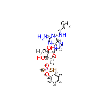 C=CCNc1nc(N)nc2c1ncn2[C@@H]1O[C@H](COP(=S)(S)Oc2ccccc2)[C@@H](O)[C@@]1(C)O